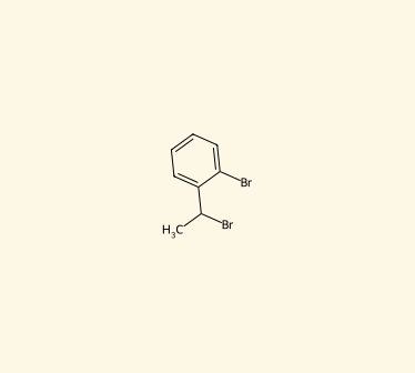 CC(Br)c1ccccc1Br